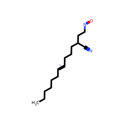 CCCCCC/C=C/CCCC(C#N)CCN=O